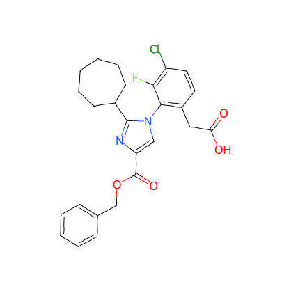 O=C(O)Cc1ccc(Cl)c(F)c1-n1cc(C(=O)OCc2ccccc2)nc1C1CCCCCC1